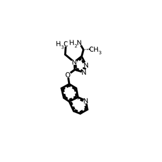 CCn1c(Oc2ccc3cccnc3c2)nnc1[C@@H](C)N